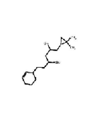 CC(C)(C)C(CCC1C=CCCC1)CC(CN1CC1(C)C)C(C)(C)C